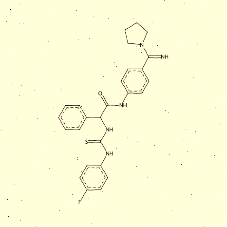 N=C(c1ccc(NC(=O)C(NC(=S)Nc2ccc(F)cc2)c2ccccc2)cc1)N1CCCC1